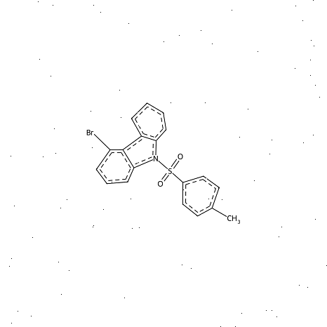 Cc1ccc(S(=O)(=O)n2c3ccccc3c3c(Br)cccc32)cc1